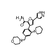 NC(=O)c1oc(-c2cn[nH]c2)cc1-c1ccc(CN2CCOCC2)cc1N1CCCCC1